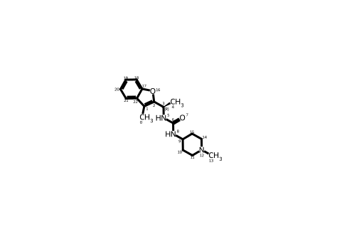 Cc1c([C@@H](C)NC(=O)NC2CCN(C)CC2)oc2ccccc12